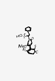 COc1cn(C(Cc2ccccc2)C(=O)O)c(=O)cc1-c1c(C(C)=O)ccc(Cl)c1F